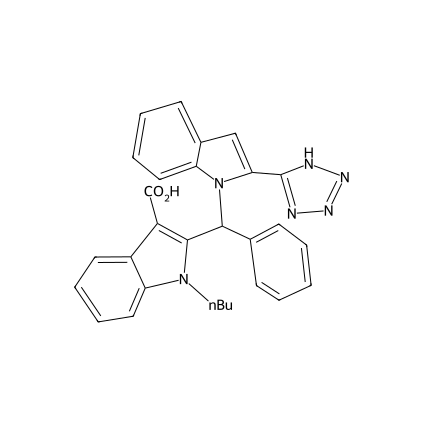 CCCCn1c(C(c2ccccc2)n2c(-c3nnn[nH]3)cc3ccccc32)c(C(=O)O)c2ccccc21